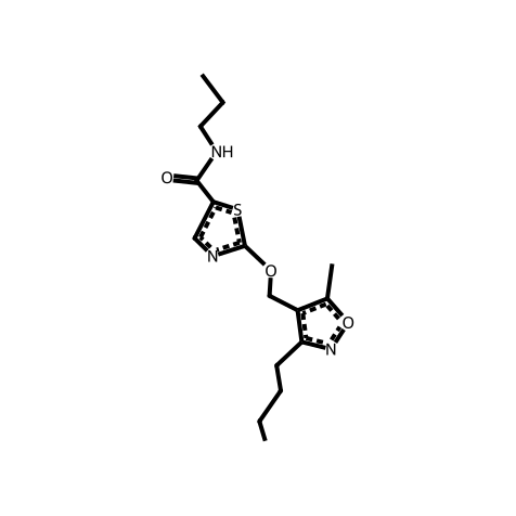 CCCCc1noc(C)c1COc1ncc(C(=O)NCCC)s1